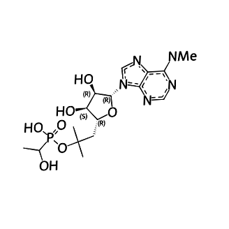 CNc1ncnc2c1ncn2[C@@H]1O[C@H](CC(C)(C)OP(=O)(O)C(C)O)[C@@H](O)[C@H]1O